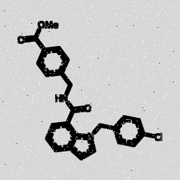 COC(=O)c1ccc(CNC(=O)c2cccc3ccn(Cc4ccc(Cl)cc4)c23)cc1